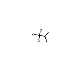 CC(F)C(Cl)(Cl)Cl